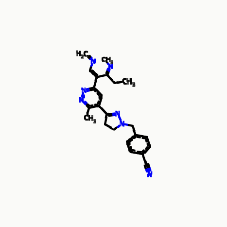 C=N/C=C(\C(CC)=N/C)c1cc(C2=NN(Cc3ccc(C#N)cc3)CC2)c(C)nn1